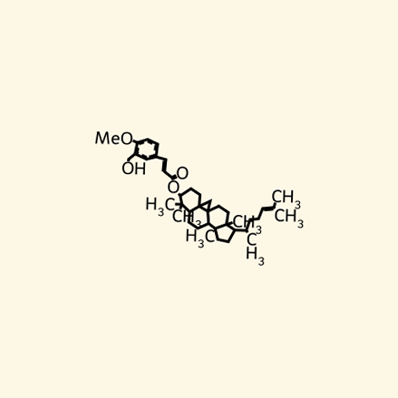 COc1ccc(/C=C/C(=O)OC2CCC34CC35CCC3(C)C(C(C)CCC=C(C)C)CCC3(C)C5CCC4C2(C)C)cc1CO